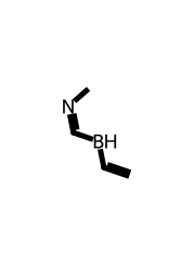 C=CB/C=N\C